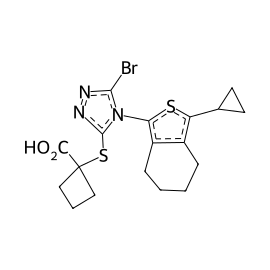 O=C(O)C1(Sc2nnc(Br)n2-c2sc(C3CC3)c3c2CCCC3)CCC1